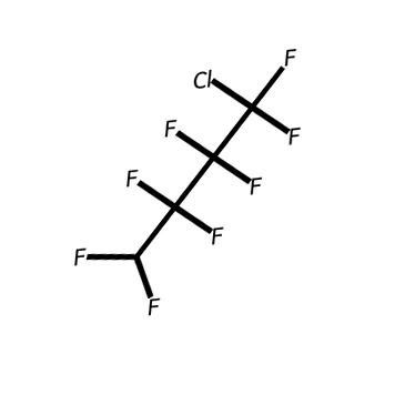 F[C](F)C(F)(F)C(F)(F)C(F)(F)Cl